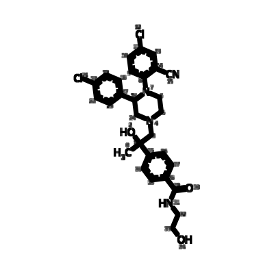 CC(O)(CN1CCN(c2ccc(Cl)cc2C#N)C(c2ccc(Cl)cc2)C1)c1ccc(C(=O)NCCO)cc1